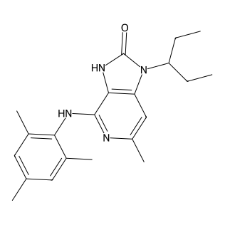 CCC(CC)n1c(=O)[nH]c2c(Nc3c(C)cc(C)cc3C)nc(C)cc21